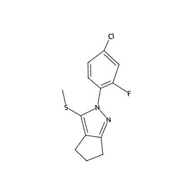 CSc1c2c(nn1-c1ccc(Cl)cc1F)CCC2